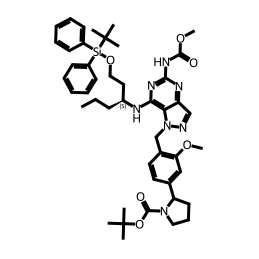 CCC[C@@H](CCO[Si](c1ccccc1)(c1ccccc1)C(C)(C)C)Nc1nc(NC(=O)OC)nc2cnn(Cc3ccc(C4CCCN4C(=O)OC(C)(C)C)cc3OC)c12